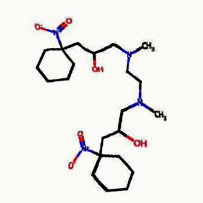 CN(CCN(C)CC(O)CC1([N+](=O)[O-])CCCCC1)CC(O)CC1([N+](=O)[O-])CCCCC1